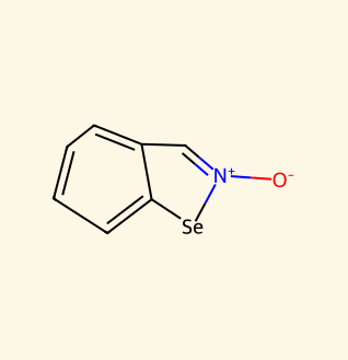 [O-][n+]1cc2ccccc2[se]1